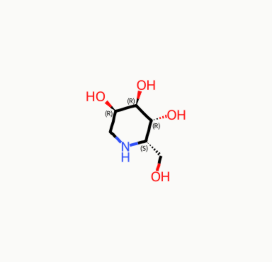 OC[C@@H]1NC[C@@H](O)[C@@H](O)[C@@H]1O